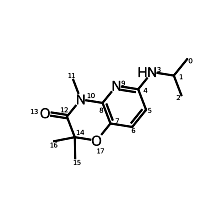 CC(C)Nc1ccc2c(n1)N(C)C(=O)C(C)(C)O2